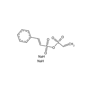 C=CS(=O)(=O)OS(=O)(=O)C=Cc1ccccc1.[NaH].[NaH]